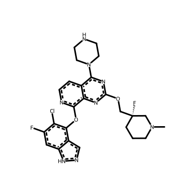 CN1CCC[C@@](F)(COc2nc(N3CCNCC3)c3ccnc(Oc4c(Cl)c(F)cc5[nH]ncc45)c3n2)C1